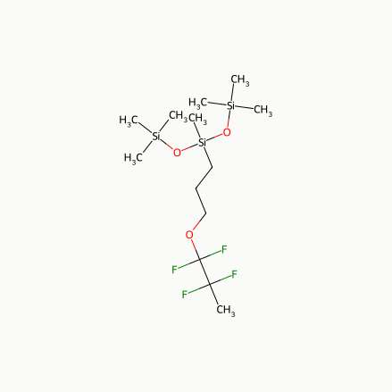 CC(F)(F)C(F)(F)OCCC[Si](C)(O[Si](C)(C)C)O[Si](C)(C)C